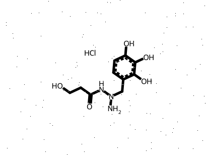 Cl.NN(Cc1ccc(O)c(O)c1O)NC(=O)CCO